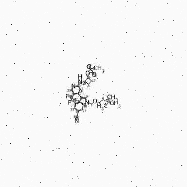 C[Si](C)(C)CCOCn1cc(-c2nc(N[C@H]3CC[C@H]3OS(C)(=O)=O)ncc2C(F)(F)F)c2ccc(C#N)cc21